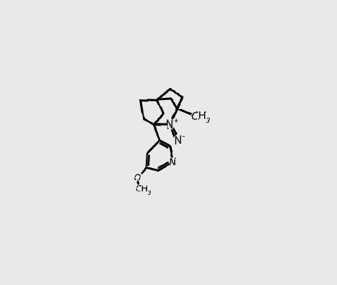 COc1cncc(C23CCC4(CCC(C)(C4)[N+]2=[N-])C3)c1